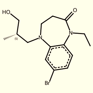 CCN1C(=O)CCN(C[C@H](C)CO)c2cc(Br)ccc21